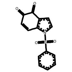 O=C1C=Cc2c(ccn2S(=O)(=O)c2ccccc2)C1=O